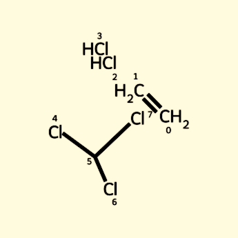 C=C.Cl.Cl.ClC(Cl)Cl